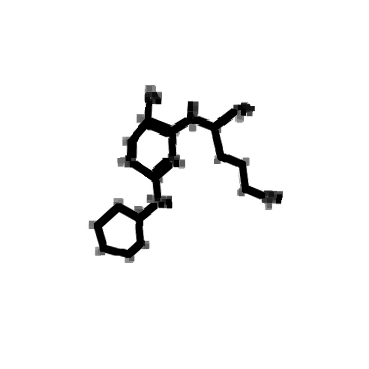 CCCC(CCCO)Nc1nc(NC2CCCCC2)ncc1C#N